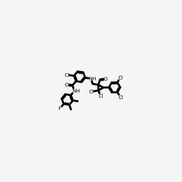 Cc1c(F)ccc(NC(=O)c2cc(NCC3(C=O)C(c4cc(Cl)cc(Cl)c4)C3(Cl)Cl)ccc2Cl)c1C